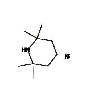 CC1(C)CCCC(C)(C)N1.[N]